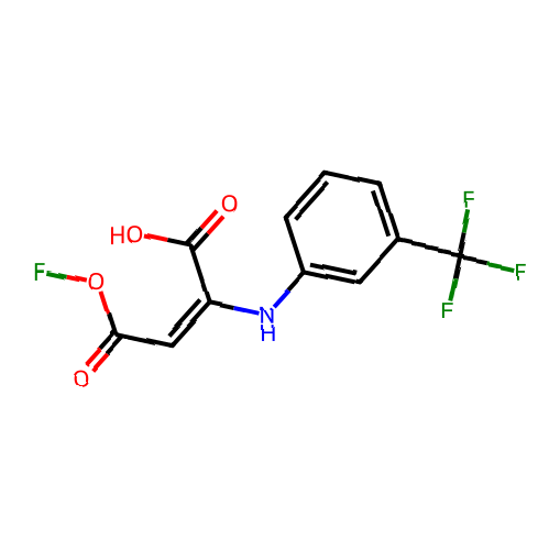 O=C(C=C(Nc1cccc(C(F)(F)F)c1)C(=O)O)OF